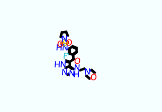 O=C(c1cccc(NS(=O)(=O)N2CCCC2)c1F)c1c[nH]c2ncnc(NCCN3CCOCC3)c12